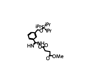 COC(=O)CCC(=O)ONC(=N)c1cccc(CO[Si](C(C)C)(C(C)C)C(C)C)c1